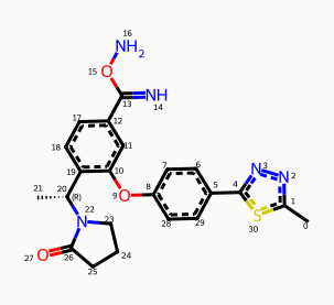 Cc1nnc(-c2ccc(Oc3cc(C(=N)ON)ccc3[C@@H](C)N3CCCC3=O)cc2)s1